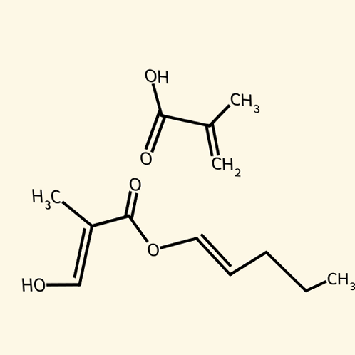 C=C(C)C(=O)O.CCCC=COC(=O)C(C)=CO